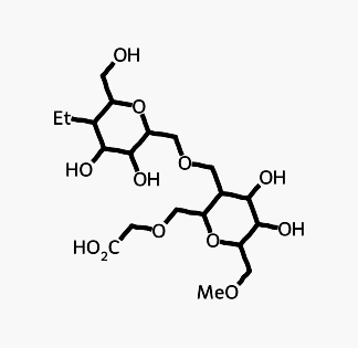 CCC1C(CO)OC(COCC2C(COCC(=O)O)OC(COC)C(O)C2O)C(O)C1O